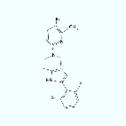 Cc1nc(N2CCc3[nH]c(-c4c(F)cccc4F)cc3C2)ccc1Br